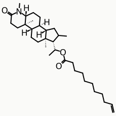 C=CCCCCCCCCC(=O)OC(C)[C@H]1C(C)C[C@H]2[C@@H]3CC[C@H]4N(C)C(=O)CC[C@]4(C)[C@H]3CC[C@]12C